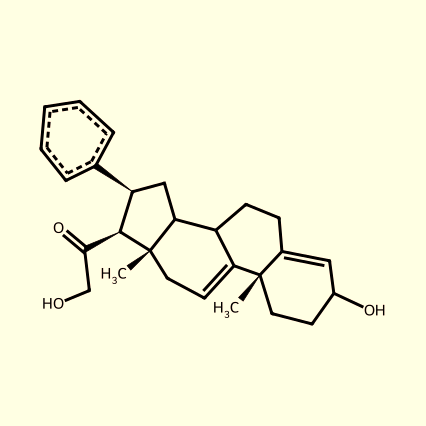 C[C@]12CCC(O)C=C1CCC1C2=CC[C@@]2(C)C1C[C@H](c1ccccc1)[C@@H]2C(=O)CO